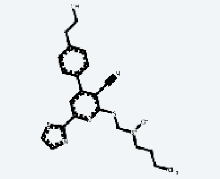 CCCC[S+]([O-])CSc1nc(-c2nccs2)cc(-c2ccc(CCO)cc2)c1C#N